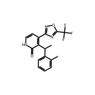 Cc1ccccc1C(C)c1c(-c2noc(C(F)(F)F)n2)cc[nH]c1=O